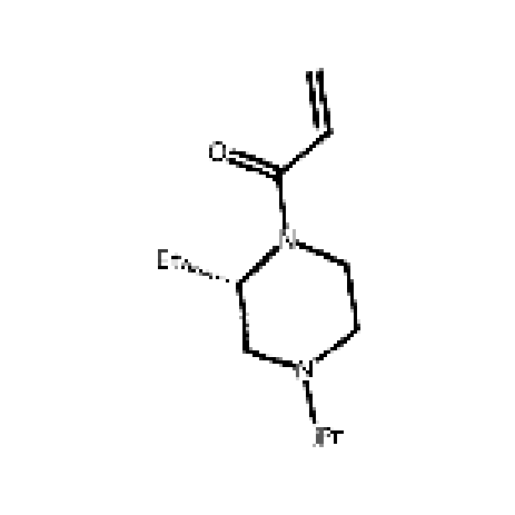 C=CC(=O)N1CCN(C(C)C)C[C@@H]1CC